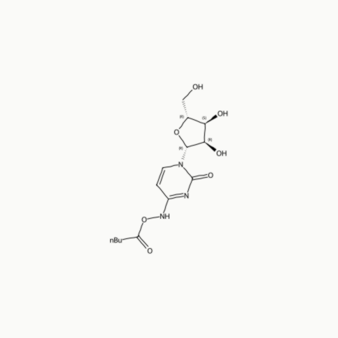 CCCCC(=O)ONc1ccn([C@@H]2O[C@H](CO)[C@@H](O)[C@H]2O)c(=O)n1